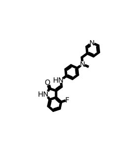 CN(Cc1cccnc1)c1ccc(NC=C2C(=O)Nc3cccc(F)c32)cc1